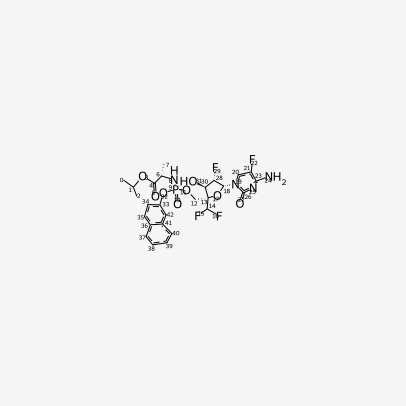 CC(C)OC(=O)[C@H](C)NP(=O)(OC[C@@]1(C(F)F)O[C@@H](n2cc(F)c(N)nc2=O)[C@@H](F)[C@@H]1O)Oc1ccc2ccccc2c1